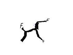 C=C(F)/C(F)=C/F